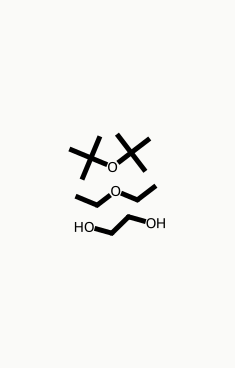 CC(C)(C)OC(C)(C)C.CCOCC.OCCO